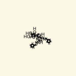 OC[C@H]1O[C@@H](n2cnc3c(NN=CC4CCCC4)nc(NN=CC4CCCC4)nc32)[C@H](O)[C@@H]1O